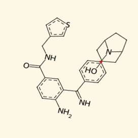 N=C(c1ccc(N2C3CCC2CC(O)C3)cc1)c1cc(C(=O)NCc2ccsc2)ccc1N